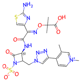 Cc1c[n+](C)ccc1-c1cn(CC2[C@H](NC(=O)C(=NOC(C)(C)C(=O)O)c3csc(N)n3)C(=O)N2S(=O)(=O)[O-])nn1